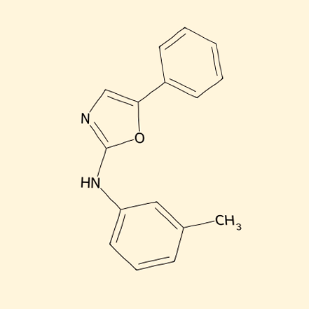 Cc1cccc(Nc2ncc(-c3ccccc3)o2)c1